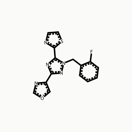 Fc1ccccc1Cn1nc(-c2cocn2)nc1-c1nccs1